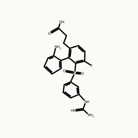 N=C(N)Nc1cccc(S(=O)(=O)c2c(F)ccc(CCC(=O)O)c2-c2ccccc2N)c1